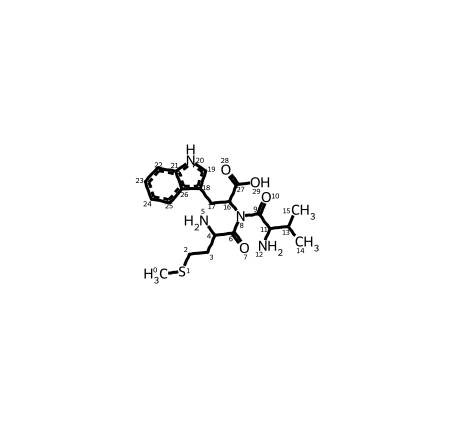 CSCCC(N)C(=O)N(C(=O)C(N)C(C)C)C(Cc1c[nH]c2ccccc12)C(=O)O